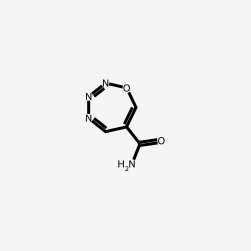 NC(=O)C1=CON=NN=C1